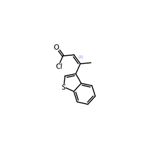 C/C(=C/C(=O)Cl)c1csc2ccccc12